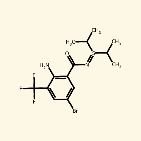 CC(C)S(=NC(=O)c1cc(Br)cc(C(F)(F)F)c1N)C(C)C